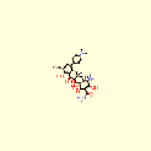 CN(C)c1ccc(-c2cc(C(C)(C)C)c(O)c3c2C[C@@H]2C[C@@H]4[C@@H](N(C)C)C(O)=C(C(N)=O)C(=O)[C@]4(O)C(O)=C2C3=O)cc1